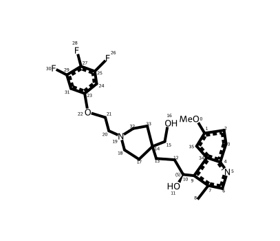 COc1ccc2ncc(C)c([C@@H](O)CCC3(CO)CCN(CCOc4cc(F)c(F)c(F)c4)CC3)c2c1